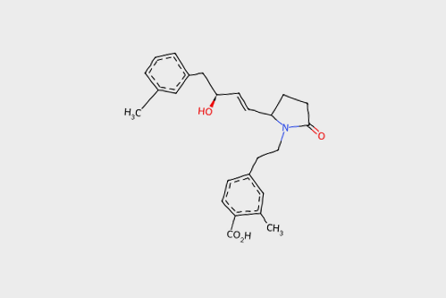 Cc1cccc(C[C@H](O)/C=C/C2CCC(=O)N2CCc2ccc(C(=O)O)c(C)c2)c1